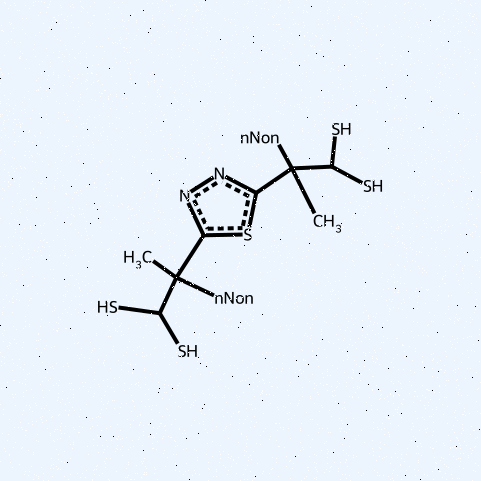 CCCCCCCCCC(C)(c1nnc(C(C)(CCCCCCCCC)C(S)S)s1)C(S)S